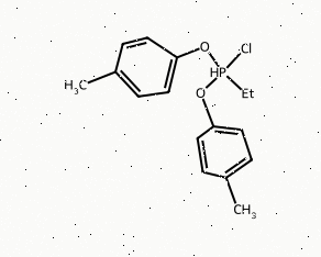 CC[PH](Cl)(Oc1ccc(C)cc1)Oc1ccc(C)cc1